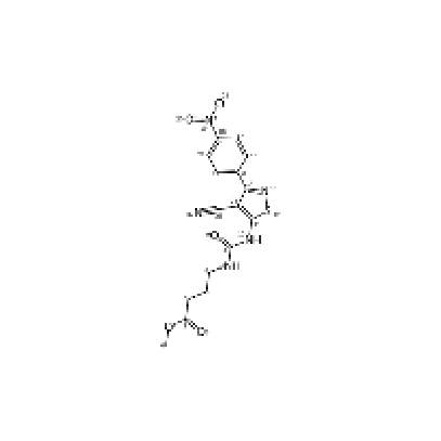 COC(=O)CCCNC(=O)Nc1snc(-c2ccc([N+](=O)[O-])cc2)c1C#N